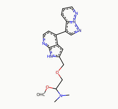 CN(C)C(COCc1cc2c(-c3cnn4ncccc34)ccnc2[nH]1)OC=O